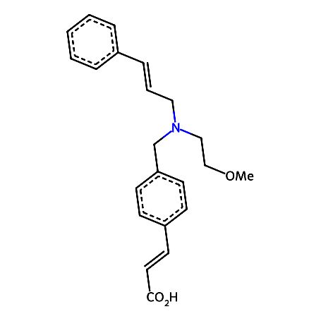 COCCN(C/C=C/c1ccccc1)Cc1ccc(/C=C/C(=O)O)cc1